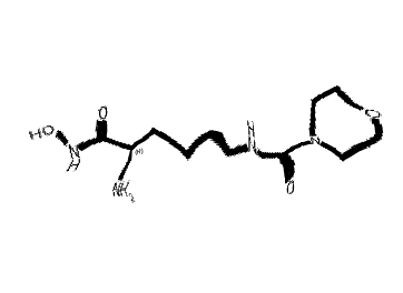 N[C@H](CCCCNC(=O)N1CCOCC1)C(=O)NO